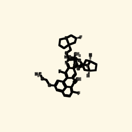 C#Cc1c(F)ccc2cc(OCOC)cc(-c3c(F)cc4c(N5C[C@H]6CC[C@@H](C5)N6C(=O)OC(C)(C)C)nc(OC[C@@]56CCCN5C[C@H](F)C6)nc4c3F)c12